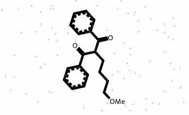 COCCCCC(C(=O)c1ccccc1)C(=O)c1ccccc1